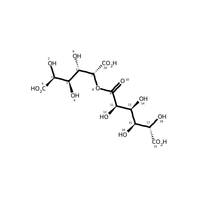 O=C(O)[C@@H](O)[C@H](O)[C@H](O)[C@@H](OC(=O)[C@H](O)[C@@H](O)[C@H](O)[C@H](O)C(=O)O)C(=O)O